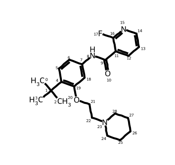 CC(C)(C)c1ccc(NC(=O)c2cccnc2F)cc1OCCN1CCCCC1